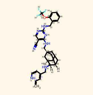 C=C/C=C(\C=C/N)CN[C@@H]1[C@@H]2CC3C[C@H]1C[C@@](CNc1nc(NCc4ccccc4OC(F)(F)F)ncc1C#N)(C3)C2